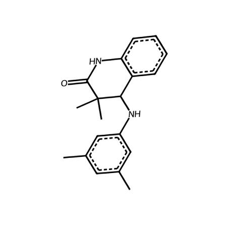 Cc1cc(C)cc(NC2c3ccccc3NC(=O)C2(C)C)c1